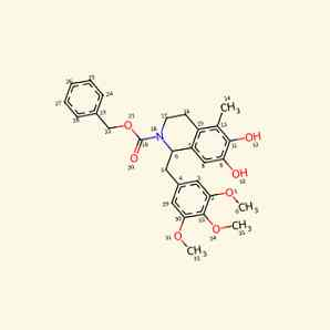 COc1cc(CC2c3cc(O)c(O)c(C)c3CCN2C(=O)OCc2ccccc2)cc(OC)c1OC